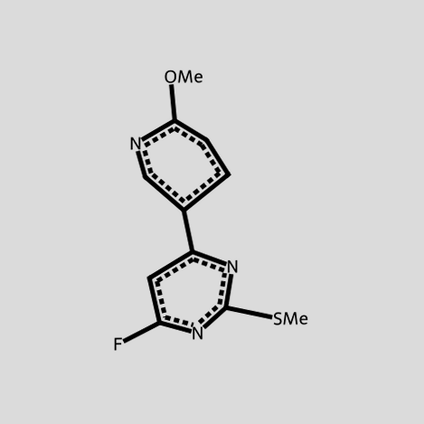 COc1ccc(-c2cc(F)nc(SC)n2)cn1